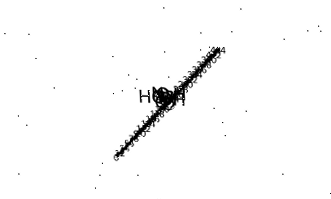 CCCCCCCCCCCCCCCCCCCCCCOCCCCCCCCCCCCCCCCCCCCCC.O=S(=O)(O)O.[NaH]